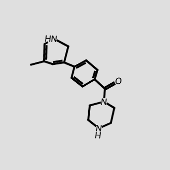 CC1=CNCC(c2ccc(C(=O)N3CCNCC3)cc2)=C1